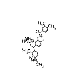 CCn1nnc2c(C)c([C@@H](CC(=O)NN)c3ccc4c(c3)CN(C(=O)c3ccc(C)c(C)c3)CC4)ccc21